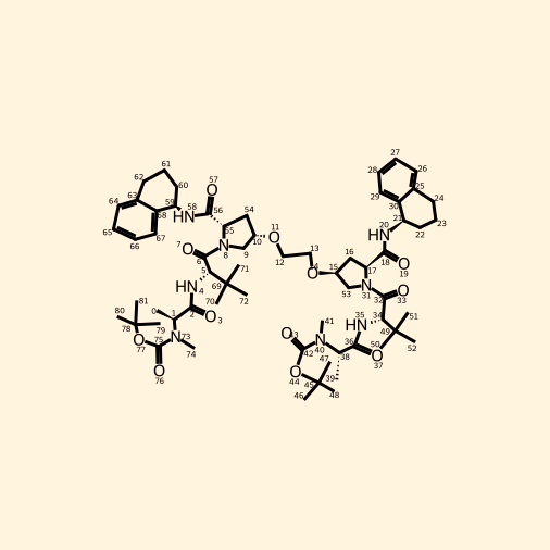 C[C@@H](C(=O)N[C@H](C(=O)N1C[C@@H](OCCO[C@H]2C[C@@H](C(=O)N[C@@H]3CCCc4ccccc43)N(C(=O)[C@@H](NC(=O)[C@H](C)N(C)C(=O)OC(C)(C)C)C(C)(C)C)C2)C[C@H]1C(=O)N[C@@H]1CCCc2ccccc21)C(C)(C)C)N(C)C(=O)OC(C)(C)C